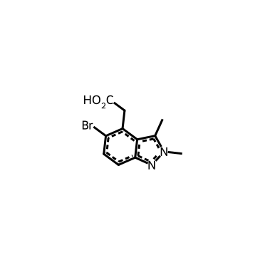 Cc1c2c(CC(=O)O)c(Br)ccc2nn1C